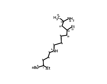 CCCCC(CC)CCCNCCCCC(CC)CC(C)N